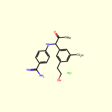 COC(=O)C(Nc1ccc(C(=N)N)cc1)c1cc(CCO)cc(C(=O)O)c1.Cl